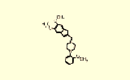 COc1cc2c(cc1OC)CC(CN1CCN(c3ccccc3OC)CC1)=C2